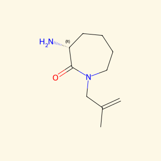 C=C(C)CN1CCCC[C@@H](N)C1=O